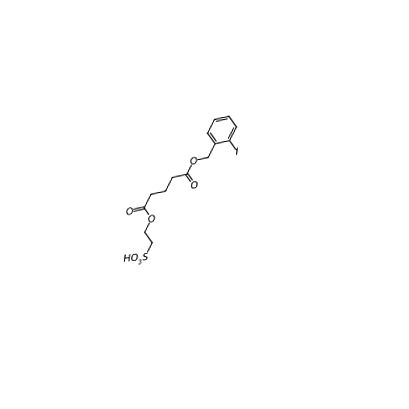 O=C(CCCC(=O)OCc1ccccc1I)OCCS(=O)(=O)O